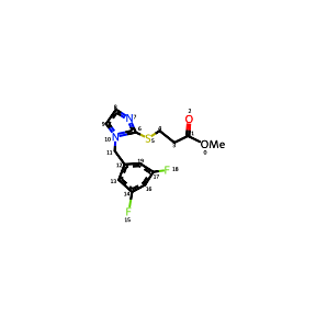 COC(=O)CCSc1nccn1Cc1cc(F)cc(F)c1